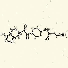 NCCC(=O)NC1CCC(NC(=O)c2ccc3c(c2)no[n+]3[O-])CC1